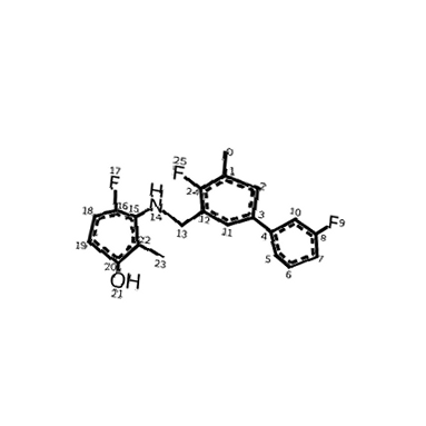 Cc1cc(-c2cccc(F)c2)cc(CNc2c(F)ccc(O)c2C)c1F